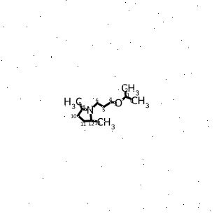 CC(C)OCCCN1C(C)CCC1C